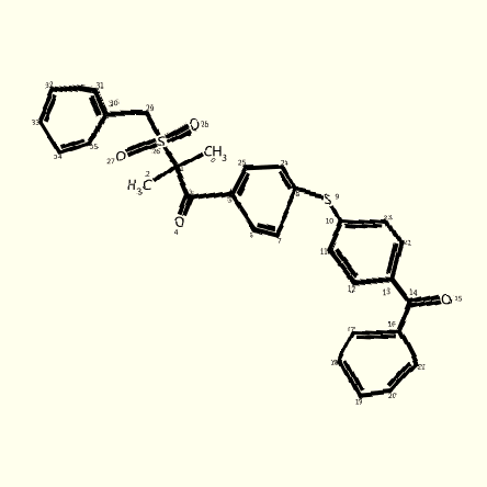 CC(C)(C(=O)c1ccc(Sc2ccc(C(=O)c3ccccc3)cc2)cc1)S(=O)(=O)Cc1ccccc1